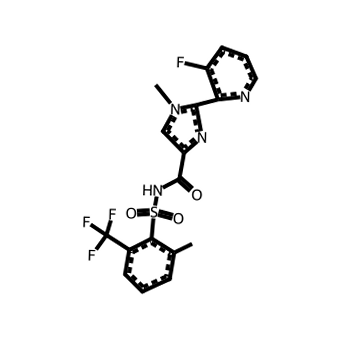 Cc1cccc(C(F)(F)F)c1S(=O)(=O)NC(=O)c1cn(C)c(-c2ncccc2F)n1